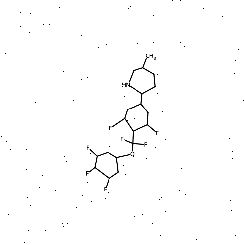 CC1CCC(C2CC(F)C(C(F)(F)OC3CC(F)C(F)C(F)C3)C(F)C2)NC1